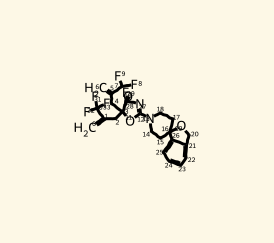 C=C(CC1(CC(=C)C(F)(F)F)OC(N2CCC3(CC2)OCc2ccccc23)=NC1=O)C(F)(F)F